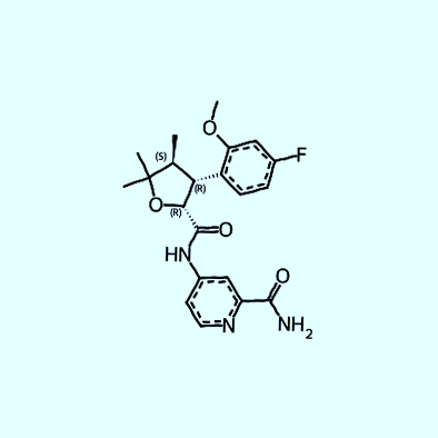 COc1cc(F)ccc1[C@@H]1[C@H](C(=O)Nc2ccnc(C(N)=O)c2)OC(C)(C)[C@H]1C